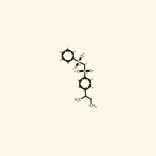 CCC(C)c1ccc(S(=O)(=O)CS(=O)(=O)c2ccccc2)cc1